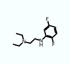 CCN(CC)CCNc1cc(F)[c]cc1F